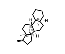 C=C1CC[C@H]2[C@@H]3CC[C@@H]4CCCC[C@]4(C)[C@H]3CC[C@]12C